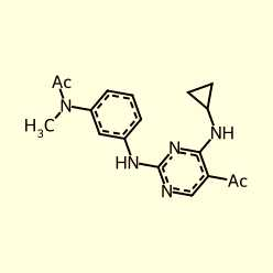 CC(=O)c1cnc(Nc2cccc(N(C)C(C)=O)c2)nc1NC1CC1